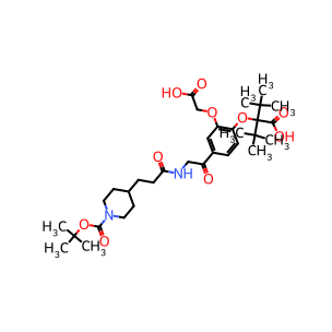 CC(C)(C)OC(=O)N1CCC(CCC(=O)NCC(=O)c2ccc(OC(C(=O)O)(C(C)(C)C)C(C)(C)C)c(OCC(=O)O)c2)CC1